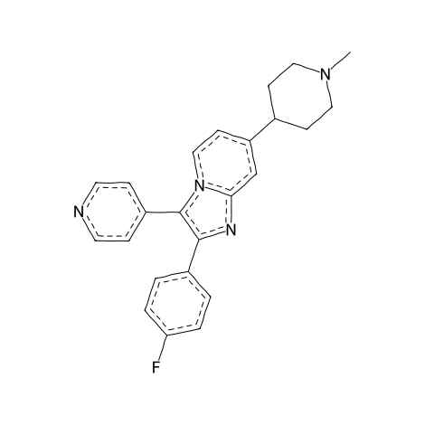 CN1CCC(c2ccn3c(-c4ccncc4)c(-c4ccc(F)cc4)nc3c2)CC1